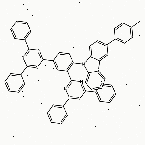 Cc1ccc(-c2ccc3c(c2)c2ccccc2n3-c2ccc(-c3nc(-c4ccccc4)nc(-c4ccccc4)n3)cc2-c2nc(-c3ccccc3)cc(-c3ccccc3)n2)cc1